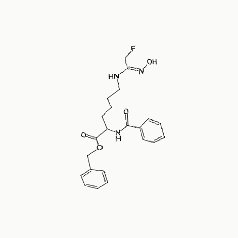 O=C(NC(CCCCNC(CF)=NO)C(=O)OCc1ccccc1)c1ccccc1